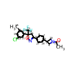 CC(=O)N1CC(c2ccc(C3=NOC(c4cc(C)cc(Cl)c4)(C(F)(F)F)C3)cc2)C1